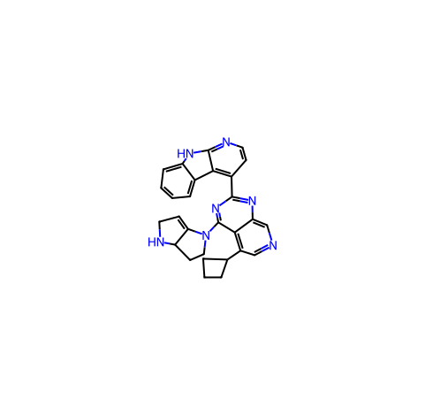 C1=C2C(CCN2c2nc(-c3ccnc4[nH]c5ccccc5c34)nc3cncc(C4CCC4)c23)NC1